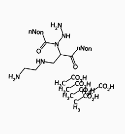 CC(=O)O.CC(=O)O.CC(=O)O.CC(=O)O.CC(=O)O.CCCCCCCCCC(=O)C(CNCCN)N(NN)C(=O)CCCCCCCCC